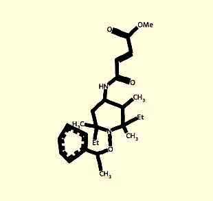 CCC1(C)CC(NC(=O)C=CC(=O)OC)C(C)C(C)(CC)N1OC(C)c1ccccc1